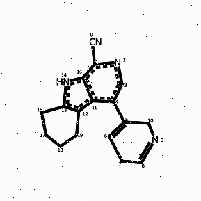 N#Cc1ncc(C2=CCC=NC2)c2c3c([nH]c12)CCCC3